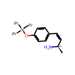 CC(C)[Si](Oc1ccc(/C=C\[C@@H](C)N)cc1)(C(C)C)C(C)C